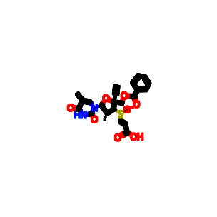 C#C[C@]1(COC(=O)c2ccccc2)O[C@@H](n2cc(C)c(=O)[nH]c2=O)[C@@H](C)[C@H]1[S+]([O-])/C=C/C(=O)O